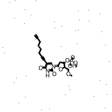 C#CCCCCC#Cc1cn([C@H]2C[C@@H](OP(=O)(O)OC)C(COC)O2)c(=O)[nH]c1=O